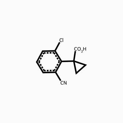 N#Cc1cccc(Cl)c1C1(C(=O)O)CC1